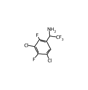 NC(c1cc(Cl)c(F)c(Cl)c1F)C(F)(F)F